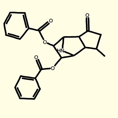 CC1CC(=O)C2C3NC(C(OC(=O)c4ccccc4)C3OC(=O)c3ccccc3)C12